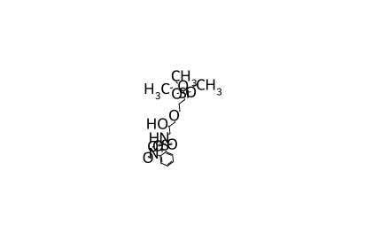 CCO[Si](CCCOCC(O)CNS(=O)(=O)c1ccccc1[N+](=O)[O-])(OCC)OCC